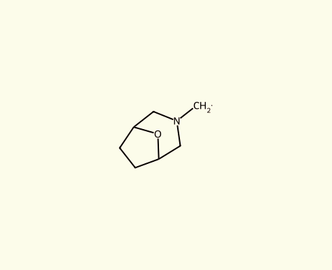 [CH2]N1CC2CCC(C1)O2